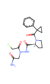 NC(=O)CN(NC(=O)[C@@H]1CCCN1C(=O)C1(c2ccccc2)CC1)C(=O)CF